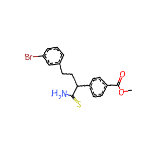 COC(=O)c1ccc(C(CCc2cccc(Br)c2)C(N)=S)cc1